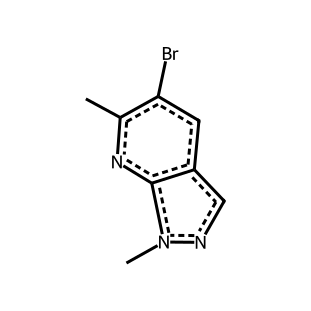 Cc1nc2c(cnn2C)cc1Br